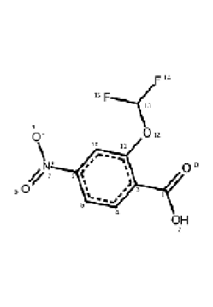 O=C(O)c1ccc([N+](=O)[O-])cc1OC(F)F